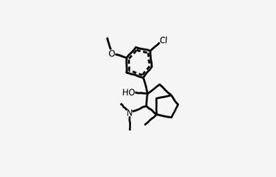 COc1cc(Cl)cc(C2(O)CC3CCC(C)(C3)C2N(C)C)c1